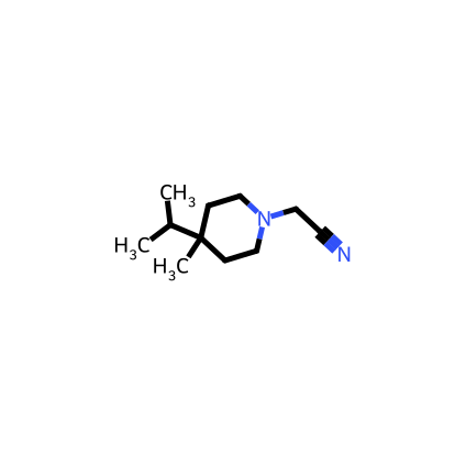 CC(C)C1(C)CCN(CC#N)CC1